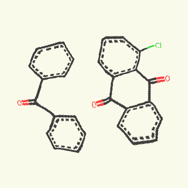 O=C(c1ccccc1)c1ccccc1.O=C1c2ccccc2C(=O)c2c(Cl)cccc21